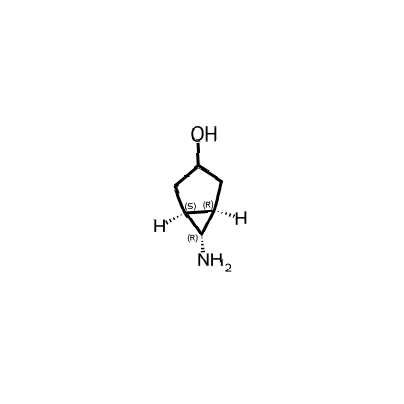 N[C@@H]1[C@H]2CC(O)C[C@@H]12